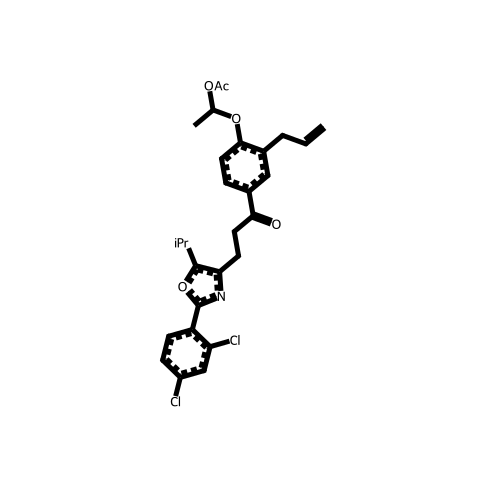 C=CCc1cc(C(=O)CCc2nc(-c3ccc(Cl)cc3Cl)oc2C(C)C)ccc1OC(C)OC(C)=O